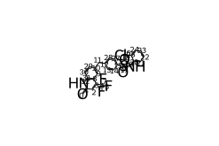 O=c1cc(C(F)(F)F)c2cc(Cc3ccc(S(=O)(=O)Nc4ccccc4Cl)cc3)ccc2[nH]1